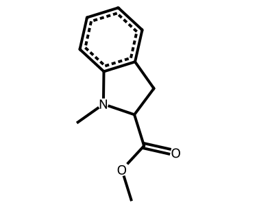 COC(=O)C1Cc2ccccc2N1C